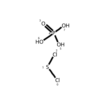 ClSCl.O=P(O)(O)O